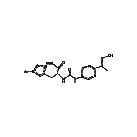 COC(=O)C(Cc1cn(C(C)=O)cn1)NC(=O)Nc1ccc(C(C)=NO)cc1